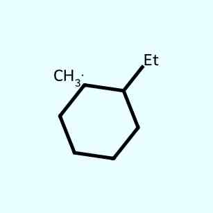 CCC1CCCCC1.[CH3]